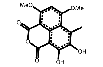 COc1cc(OC)c2c(C)c(O)c(O)c3c2c1C(=O)OC3=O